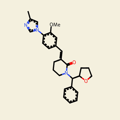 COc1cc(C=C2CCCN(C(c3ccccc3)C3CCCO3)C2=O)ccc1-n1cnc(C)c1